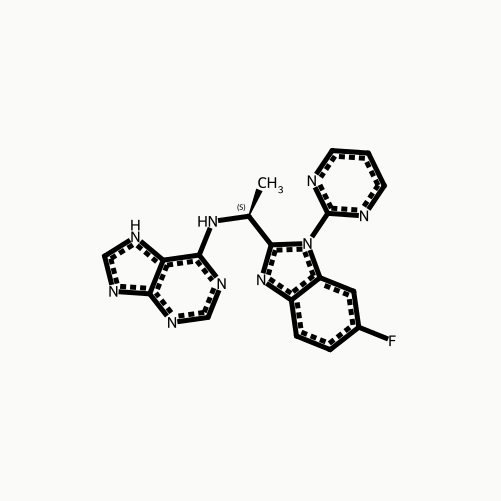 C[C@H](Nc1ncnc2nc[nH]c12)c1nc2ccc(F)cc2n1-c1ncccn1